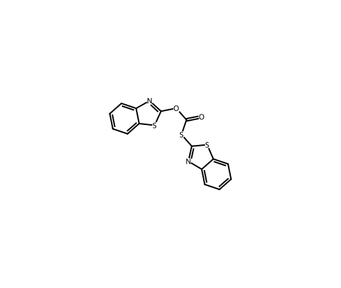 O=C(Oc1nc2ccccc2s1)Sc1nc2ccccc2s1